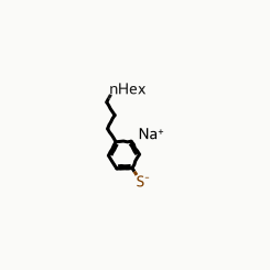 CCCCCCCCCc1ccc([S-])cc1.[Na+]